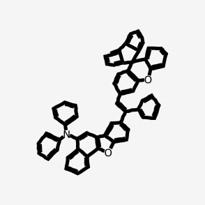 C(=C(/c1ccccc1)c1ccc2oc3c4ccccc4c(N(c4ccccc4)c4ccccc4)cc3c2c1)/c1ccc2c(c1)Oc1ccccc1C21c2ccccc2-c2ccccc21